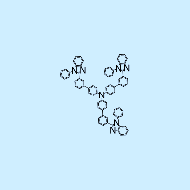 c1ccc(-n2c(-c3cccc(-c4ccc(N(c5ccc(-c6cccc(-c7nc8ccccc8n7-c7ccccc7)c6)cc5)c5ccc(-c6cccc(-c7nc8ccccc8n7-c7ccccc7)c6)cc5)cc4)c3)nc3ccccc32)cc1